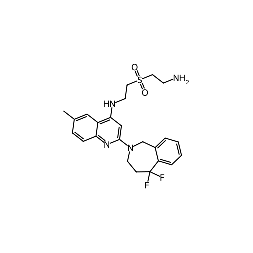 Cc1ccc2nc(N3CCC(F)(F)c4ccccc4C3)cc(NCCS(=O)(=O)CCN)c2c1